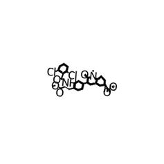 COC(=O)[C@H](Cc1ccc(-c2cc3cc([N+](=O)[O-])ccc3n(C)c2=O)cc1)NC(=O)c1c(Cl)cccc1Cl